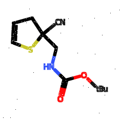 CC(C)(C)OC(=O)NCC1(C#N)CC=CS1